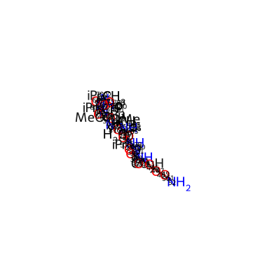 CC[C@H](C)[C@@H]([C@@H](CC(=O)N1CCC[C@H]1[C@H](OC)[C@@H](C)C(=O)N[C@H](C)[C@@H](OC(=O)[C@@H](NC(=O)[C@@H]1CCCN1C(=O)[C@H](CC(=O)O)NC(=O)CCOCCOCCOCCN)C(C)C)c1ccccc1)OC)N(C)C(=O)[C@@H](NC(=O)[C@H](C(C)C)N(C)C(=O)OCc1ccccc1)C(C)C